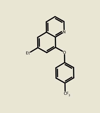 CCc1cc(Oc2ccc(C(F)(F)F)cc2)c2ncccc2c1